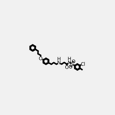 Cc1ccc(S(=O)(=O)NC(=O)CCNCCCc2ccc(OCCCc3ccccc3)cc2)cc1Cl